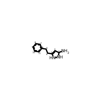 NC1C=C(CCc2ccccc2)NN1